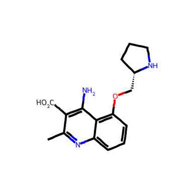 Cc1nc2cccc(OC[C@@H]3CCCN3)c2c(N)c1C(=O)O